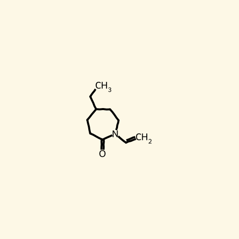 C=CN1CCC(CC)CCC1=O